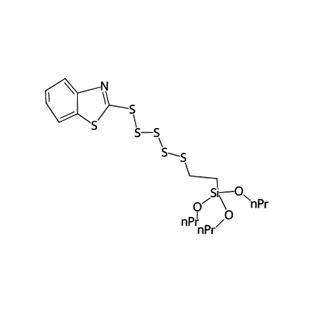 CCCO[Si](CCSSSSSc1nc2ccccc2s1)(OCCC)OCCC